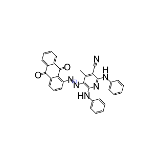 Cc1c(C#N)c(Nc2ccccc2)nc(Nc2ccccc2)c1/N=N/c1cccc2c1C(=O)c1ccccc1C2=O